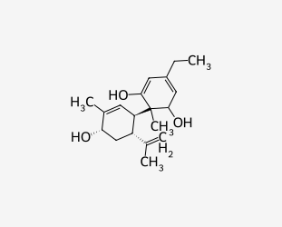 C=C(C)[C@@H]1C[C@H](O)C(C)=C[C@H]1C1(C)C(O)=CC(CC)=CC1O